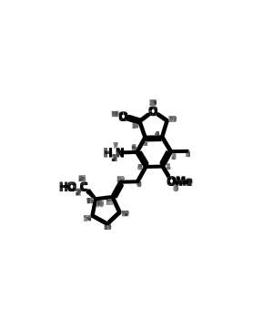 COc1c(C)c2c(c(N)c1CC=C1CCC[C@H]1C(=O)O)C(=O)OC2